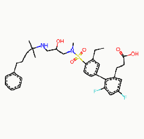 CCc1cc(-c2c(F)cc(F)cc2CCC(=O)O)ccc1S(=O)(=O)N(C)CC(O)CNC(C)(C)CCCc1ccccc1